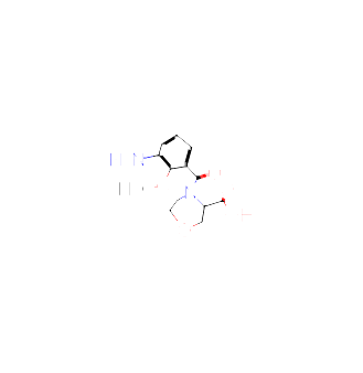 COc1c(N)cccc1C(=O)N1CCOCC1C(=O)O